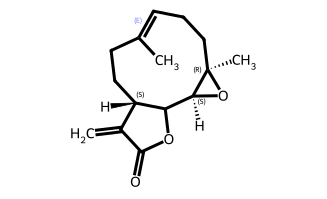 C=C1C(=O)OC2[C@H]1CC/C(C)=C/CC[C@@]1(C)O[C@@H]21